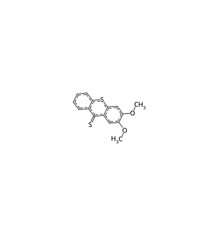 COc1cc2sc3ccccc3c(=S)c2cc1OC